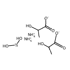 CC(O)C(=O)[O-].CC(O)C(=O)[O-].[NH4+].[NH4+].[OH][Ti][OH]